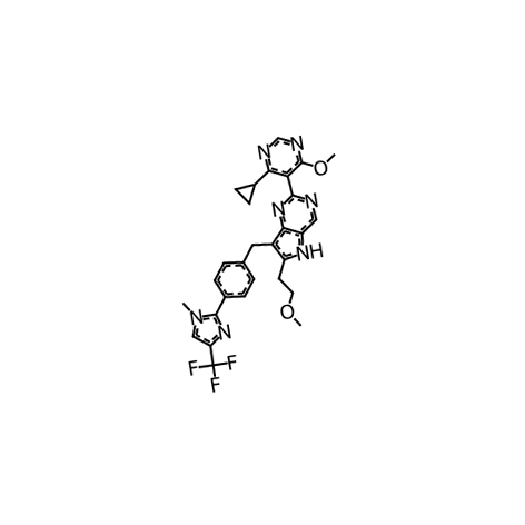 COCCc1[nH]c2cnc(-c3c(OC)ncnc3C3CC3)nc2c1Cc1ccc(-c2nc(C(F)(F)F)cn2C)cc1